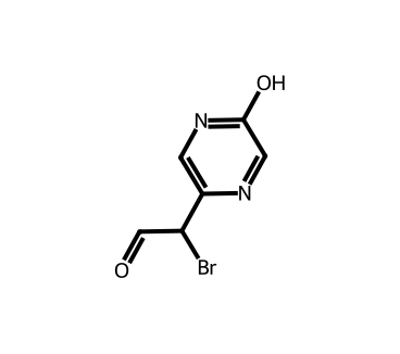 O=CC(Br)c1cnc(O)cn1